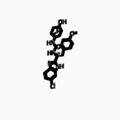 COc1ccc(C[C@@H](NC(=O)NC23CCC(O)(CC2)CC3)c2nc3ccc(Cl)cc3[nH]2)cc1